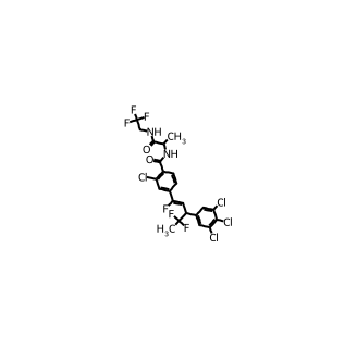 CC(NC(=O)c1ccc(/C(F)=C/C(c2cc(Cl)c(Cl)c(Cl)c2)C(C)(F)F)cc1Cl)C(=O)NCC(F)(F)F